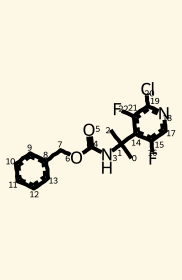 CC(C)(NC(=O)OCc1ccccc1)c1c(F)cnc(Cl)c1F